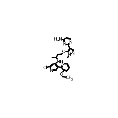 C[C@@H](CCOc1c(-c2nccc(N)n2)cnn1C)Nc1cc(Cl)ncc1-c1ncccc1OCC(F)(F)F